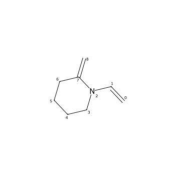 C=CN1CCCCC1=C